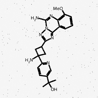 COc1cccc2c1nc(N)n1nc(C3CC(N)(c4ccc(C(C)(C)O)cn4)C3)nc21